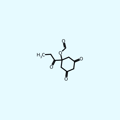 CCC(=O)C1(OC=O)CC(=O)CC(=O)C1